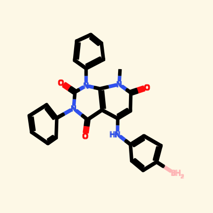 Bc1ccc(Nc2cc(=O)n(C)c3c2c(=O)n(-c2ccccc2)c(=O)n3-c2ccccc2)cc1